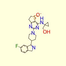 [O-][S+]1CCc2nc(N3CCC(C4=NCc5ccc(F)cc54)CC3)nc(NC3(CO)CC3)c21